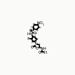 CCC(=O)N[C@@H]1CN(c2ccc(NS(=O)(=O)c3ccc([N+](=O)[O-])cc3)c(F)c2)C(=O)O1